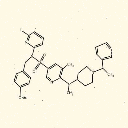 COc1ccc(CN(c2cccc(F)n2)S(=O)(=O)c2cnc(N(C)C3CCN(C(C)c4ccccc4)CC3)c(C)c2)cc1